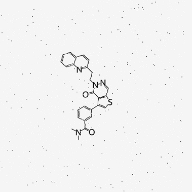 CN(C)C(=O)c1cccc(-c2csc3cnn(CCc4ccc5ccccc5n4)c(=O)c23)c1